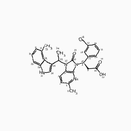 Cc1ccc2c(n1)n([C@H](CC(=O)O)c1cccc(Cl)c1)c(=O)n2C(C)c1c[nH]c2cccc(C)c12